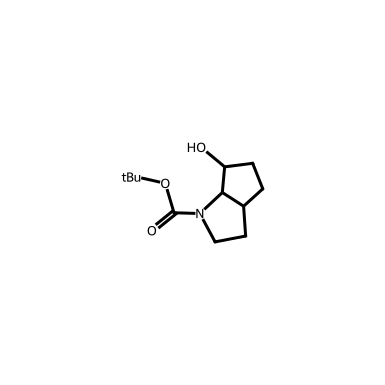 CC(C)(C)OC(=O)N1CCC2CCC(O)C21